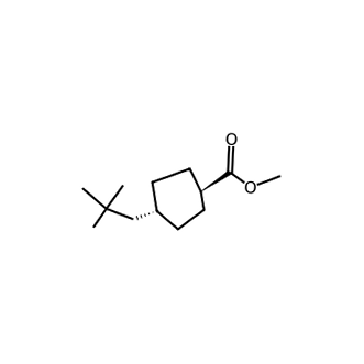 COC(=O)[C@H]1CC[C@H](CC(C)(C)C)CC1